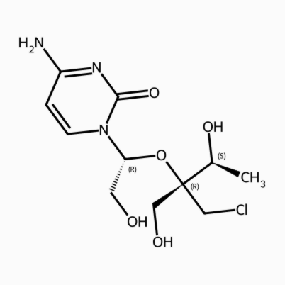 C[C@H](O)[C@](CO)(CCl)O[C@H](CO)n1ccc(N)nc1=O